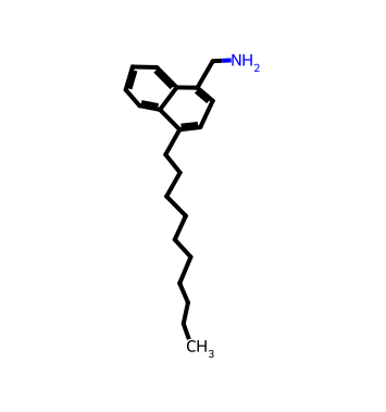 CCCCCCCCCCc1ccc(CN)c2ccccc12